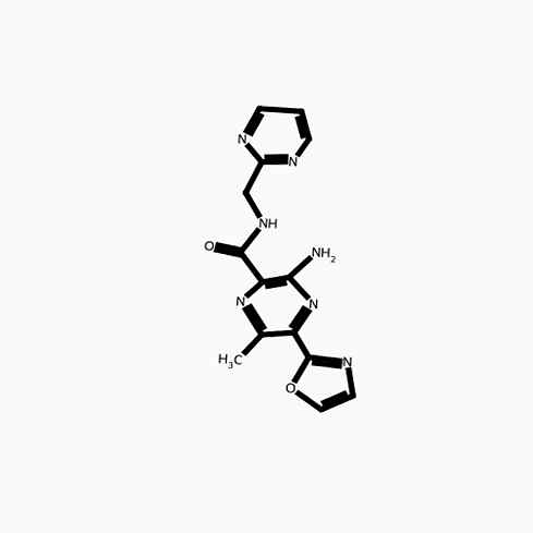 Cc1nc(C(=O)NCc2ncccn2)c(N)nc1-c1ncco1